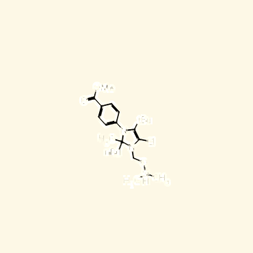 CCCCC1(C)N(CO[SiH](C)C)C(Cl)=C(C(C)(C)C)N1c1ccc(C(=O)OC)cc1